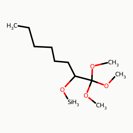 CCCCCCC(O[SiH3])C(OC)(OC)OC